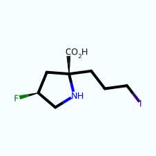 O=C(O)[C@]1(CCCI)C[C@H](F)CN1